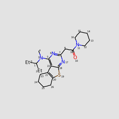 CCC(CC)N(C)c1nc(CC(=O)N2CCCCC2)nc2sc3c(c12)CCCC3